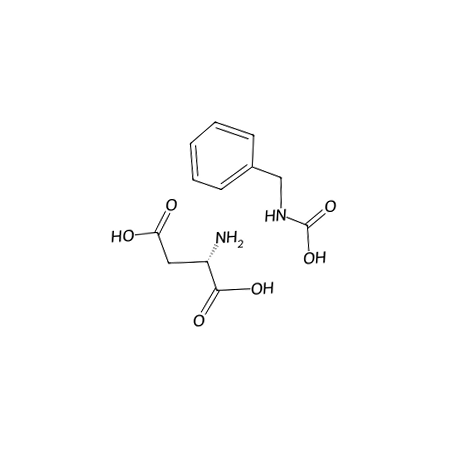 N[C@@H](CC(=O)O)C(=O)O.O=C(O)NCc1ccccc1